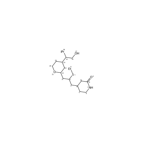 CCSC(CC1CCNC(=O)C1)CC1CC(C(CO)C(C)C)CCO1